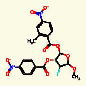 COC1O[C@H](OC(=O)c2ccc([N+](=O)[O-])cc2C)[C@@H](OC(=O)c2ccc([N+](=O)[O-])cc2)[C@@H]1F